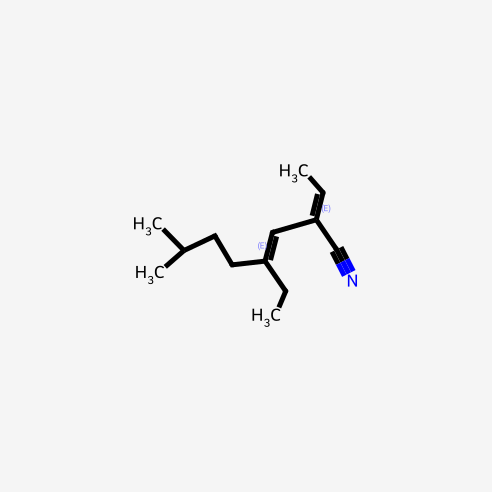 C/C=C(C#N)\C=C(/CC)CCC(C)C